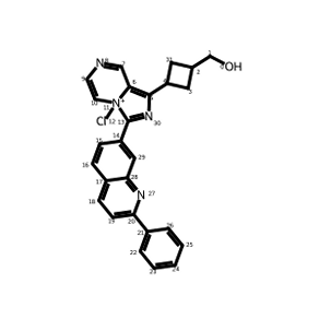 OCC1CC(C2=C3C=NC=C[N+]3(Cl)C(c3ccc4ccc(-c5ccccc5)nc4c3)=N2)C1